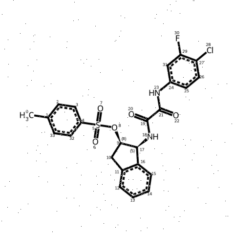 Cc1ccc(S(=O)(=O)O[C@@H]2Cc3ccccc3[C@@H]2NC(=O)C(=O)Nc2ccc(Cl)c(F)c2)cc1